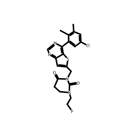 Cc1cc(Cl)cc(-c2ncnc3cc(CN4C(=O)CCN(CCF)C4=O)sc23)c1C